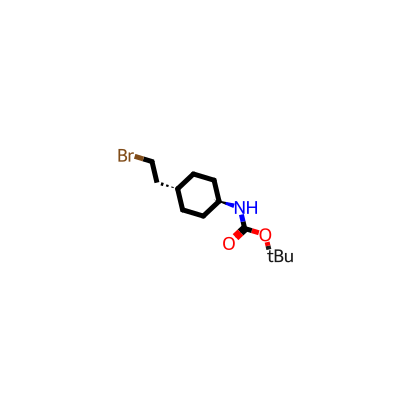 CC(C)(C)OC(=O)N[C@H]1CC[C@H](CCBr)CC1